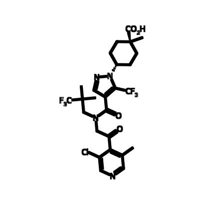 Cc1cncc(Cl)c1C(=O)CN(CC(C)(C)C(F)(F)F)C(=O)c1cnn([C@H]2CC[C@](C)(C(=O)O)CC2)c1C(F)(F)F